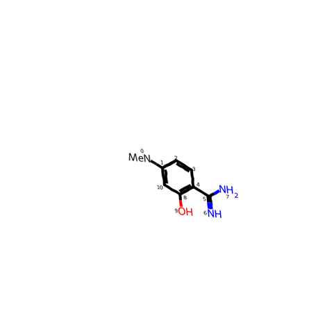 CNc1ccc(C(=N)N)c(O)c1